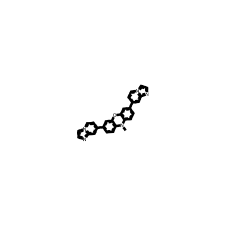 CN1c2ccc(-c3ccn4ccnc4c3)cc2Oc2cc(-c3ccn4ccnc4c3)ccc21